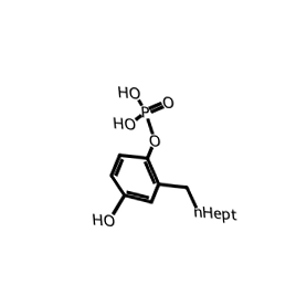 CCCCCCCCc1cc(O)ccc1OP(=O)(O)O